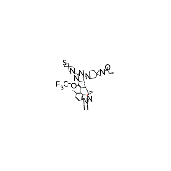 C=CC(=O)N1CC2(CCN(c3nc(N4CC5(CSC5)C4)nc4c(OCC(F)(F)F)c(-c5c(C)ccc6[nH]ncc56)c(C5CC5)cc34)CC2)C1